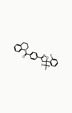 O=C(c1ccc(C2=NOC(c3ccccc3F)(C(F)(F)F)C2)cc1)N1CCCc2ccccc21